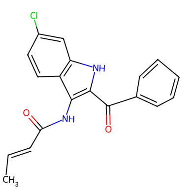 C/C=C/C(=O)Nc1c(C(=O)c2ccccc2)[nH]c2cc(Cl)ccc12